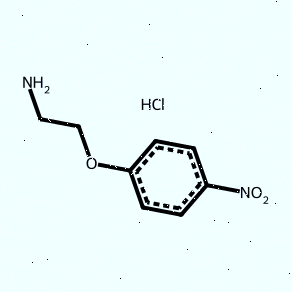 Cl.NCCOc1ccc([N+](=O)[O-])cc1